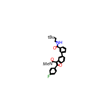 CNC(=O)c1c(-c2ccc(F)cc2)oc2ccc(-c3cccc(C(=O)NCCC(C)(C)C)c3)cc12